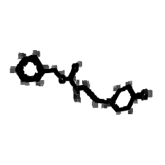 O=C1CCN(CCNC(=O)OCc2ccccc2)CC1